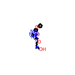 CN(CC=CC(=O)N1CC(n2c(=O)n(-c3ccc(Oc4ccccc4)cc3)c3c(N)ncnc32)C1)CCO